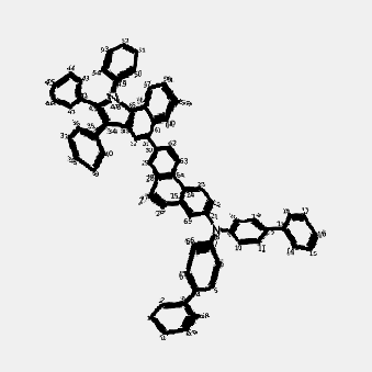 c1ccc(-c2ccc(N(c3ccc(-c4ccccc4)cc3)c3ccc4c(ccc5cc(-c6cc7c(-c8ccccc8)c(-c8ccccc8)n(-c8ccccc8)c7c7ccccc67)ccc54)c3)cc2)cc1